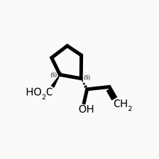 C=CC(O)[C@H]1CCC[C@@H]1C(=O)O